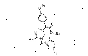 CSC1=NC=C(N(C(=O)OC(C)(C)C)c2ccc(OC(C)C)cc2)C(Cc2ccc(Cl)cc2)N1N